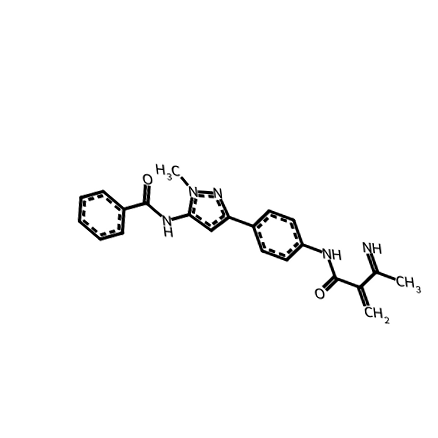 C=C(C(C)=N)C(=O)Nc1ccc(-c2cc(NC(=O)c3ccccc3)n(C)n2)cc1